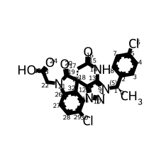 C[C@@H](c1ccc(Cl)cc1)n1nnc2c1NC(=O)C[C@]21C(=O)N(CC(=O)O)c2ccc(Cl)cc21